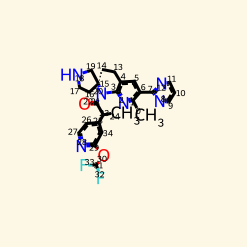 Cc1nc2c(cc1-c1ncccn1)CC[C@@]1(CCNC1)N2C(=O)C(C)c1ccnc(OC(F)F)c1